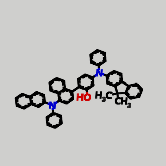 CC1(C)c2ccccc2-c2ccc(N(c3ccccc3)c3ccc(-c4ccc(N(c5ccccc5)c5ccc6ccccc6c5)c5ccccc45)c(O)c3)cc21